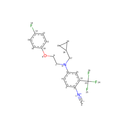 [C-]#[N+]c1ccc(N(CCOc2ccc(F)cc2)CC2CC2)cc1C(F)(F)F